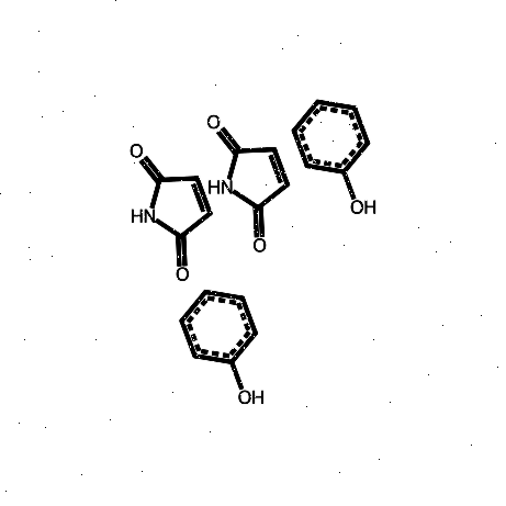 O=C1C=CC(=O)N1.O=C1C=CC(=O)N1.Oc1ccccc1.Oc1ccccc1